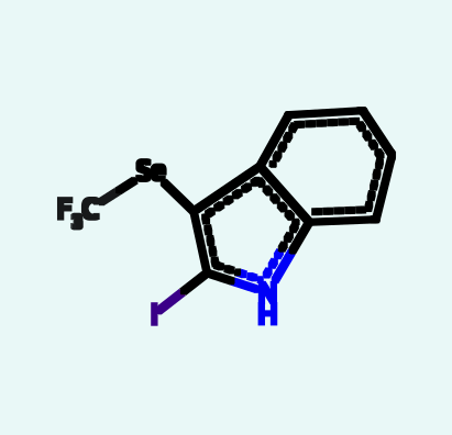 FC(F)(F)[Se]c1c(I)[nH]c2ccccc12